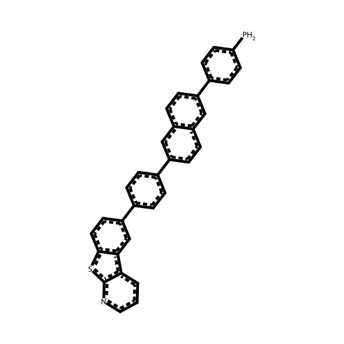 Pc1ccc(-c2ccc3cc(-c4ccc(-c5ccc6sc7ncccc7c6c5)cc4)ccc3c2)cc1